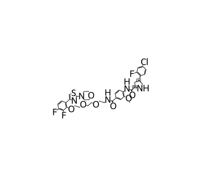 COc1cc(C(=O)NCCOCCOCCOc2c(-c3csc(N4CCOCC4)n3)ccc(F)c2F)ccc1NC(=O)[C@H]1C[C@@H](c2ccc(Cl)cc2F)CN1